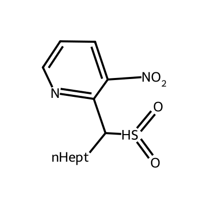 CCCCCCCC(c1ncccc1[N+](=O)[O-])[SH](=O)=O